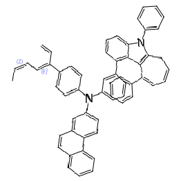 C=C/C(=C\C=C/C)c1ccc(N(c2cccc(-c3cccc4c3c3c(n4-c4ccccc4)CC=CC=C3c3ccccc3)c2)c2ccc3c(ccc4ccccc43)c2)cc1